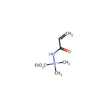 [CH2][N+](C)(NC(=O)C=C)C(=O)OCC